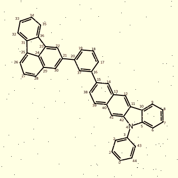 c1ccc(-n2c3ccccc3c3cc4cc(-c5cccc(-c6cc7c8c(cccc8c6)-c6ccccc6-7)c5)ccc4cc32)cc1